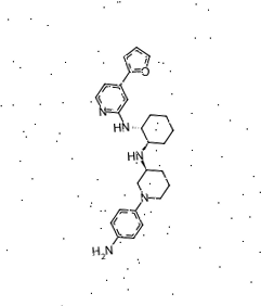 Nc1ccc(N2CCC[C@H](N[C@@H]3CCCC[C@H]3Nc3cc(-c4ccco4)ccn3)C2)cc1